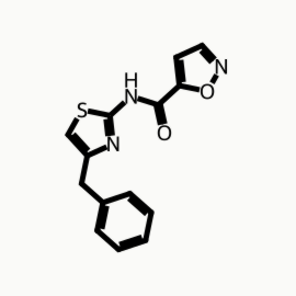 O=C(Nc1nc(Cc2ccccc2)cs1)c1ccno1